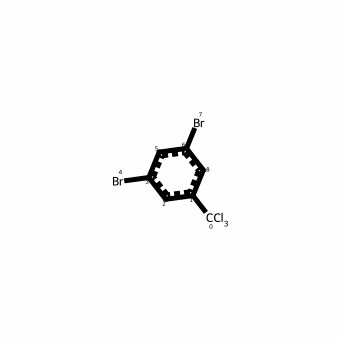 ClC(Cl)(Cl)c1cc(Br)cc(Br)c1